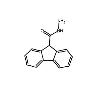 NNC(=O)C1c2ccccc2-c2ccccc21